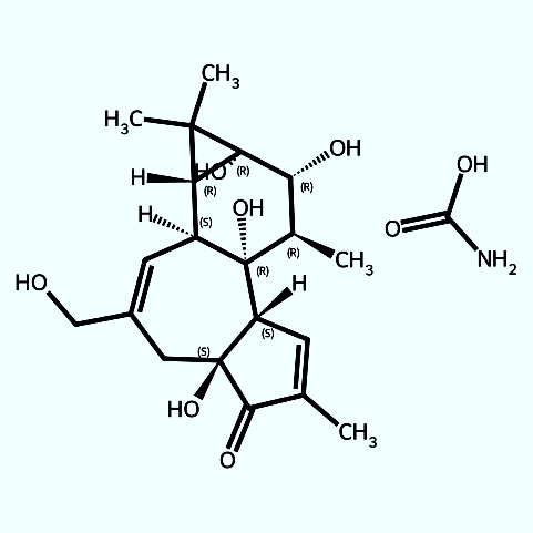 CC1=C[C@H]2[C@]3(O)[C@H](C)[C@@H](O)[C@@]4(O)[C@H]([C@@H]3C=C(CO)C[C@@]2(O)C1=O)C4(C)C.NC(=O)O